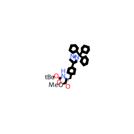 COC(=O)[C@H](Cc1ccc(-c2cnn(C(c3ccccc3)(c3ccccc3)c3ccccc3)c2)cc1)NC(=O)OC(C)(C)C